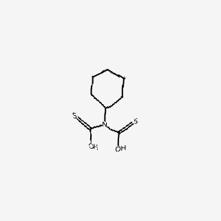 OC(=S)N(C(O)=S)C1CCCCC1